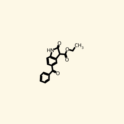 CCOC(=O)C1C(=O)Nc2ccc(C(=O)c3ccccc3)cc21